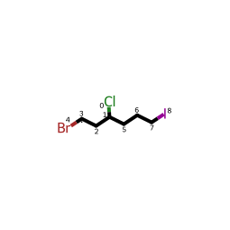 ClC(C[CH]Br)CCCI